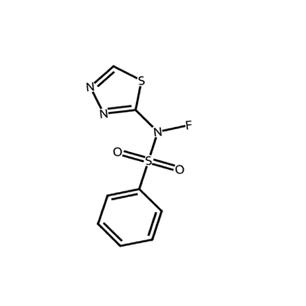 O=S(=O)(c1ccccc1)N(F)c1nncs1